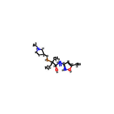 CC(=O)N1CCC(CSC(C)(C)C(=O)Nc2cc(C(C)(C)C)on2)C1